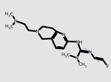 CN(C)CCN1CCc2nc(N/C(=N/C=C/F)N(C)C)ccc2C1